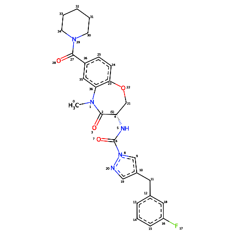 CN1C(=O)[C@@H](NC(=O)n2cc(Cc3cccc(F)c3)cn2)COc2ccc(C(=O)N3CCCCC3)cc21